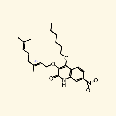 CCCCCCOc1c(OC/C=C(\C)CCC=C(C)C)c(=O)[nH]c2cc([N+](=O)[O-])ccc12